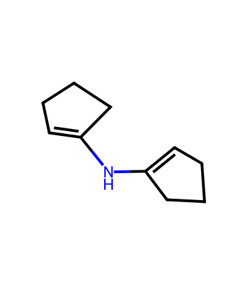 C1=C(NC2=CCCC2)CCC1